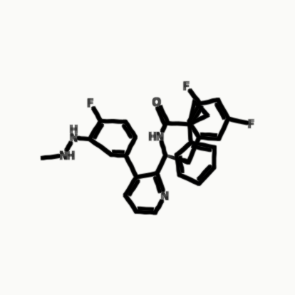 CNNc1cc(-c2cccnc2[C@H](Cc2cc(F)cc(F)c2)NC(=O)C2(c3ccccc3)CC2)ccc1F